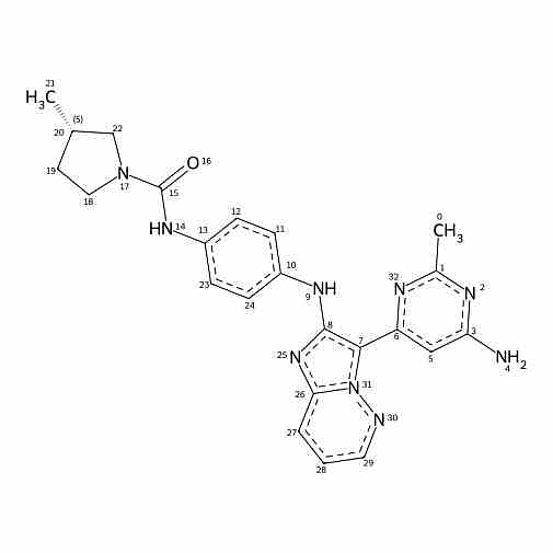 Cc1nc(N)cc(-c2c(Nc3ccc(NC(=O)N4CC[C@H](C)C4)cc3)nc3cccnn23)n1